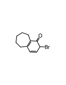 O=C1C2=C(C=CC1Br)CCCCC2